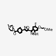 COCCOc1cc2[nH]nc(-c3cc(-c4ccc(C(=O)N5CCN(C)CC5)cc4)no3)c2cc1F